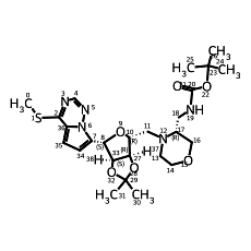 CSc1ncnn2c([C@@H]3O[C@H](CN4CCOC[C@H]4CNC(=O)OC(C)(C)C)[C@H]4OC(C)(C)O[C@H]43)ccc12